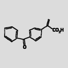 C=C(C(=O)O)c1ccc(C(=O)c2ccccc2)cc1